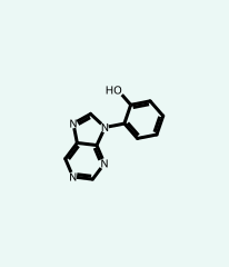 Oc1ccccc1-n1cnc2cncnc21